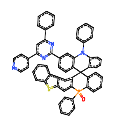 O=P1(c2ccccc2)c2ccccc2C2(c3ccccc3N(c3ccccc3)c3cc(-c4nc(-c5ccccc5)cc(-c5ccncc5)n4)ccc32)c2cc3c(cc21)sc1ccccc13